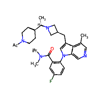 CC(=O)N1CCC([C@H](C)N2CC(Cc3cn(-c4ccc(F)cc4C(=O)N(C)C(C)C)c4cncc(C)c34)C2)CC1